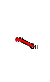 CCCN(OCC)C(=O)C1=Cc2ccc(-c3ncc(CNC(=O)CCOCCOCCOCCOCCOCCOCCOCCOCCOCCOCCC(=O)Oc4c(F)c(F)c(S(=O)(=O)O)c(F)c4F)cn3)cc2N=C(N)C1